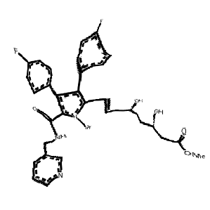 COC(=O)C[C@H](O)C[C@H](O)/C=C/c1c(-c2ccc(F)cc2)c(-c2ccc(F)cc2)c(C(=O)NCc2cccnc2)n1C(C)C